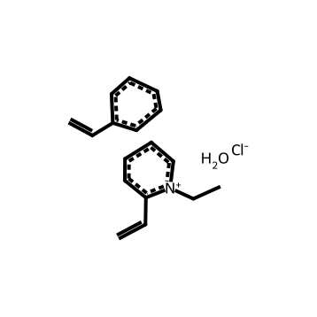 C=Cc1cccc[n+]1CC.C=Cc1ccccc1.O.[Cl-]